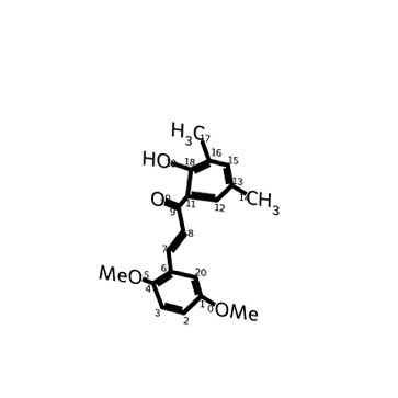 COc1ccc(OC)c(C=CC(=O)c2cc(C)cc(C)c2O)c1